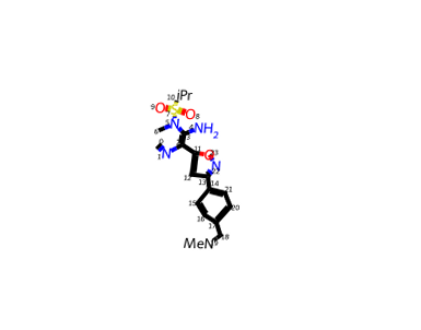 C=N/C(=C(/N)N(C)S(=O)(=O)C(C)C)c1cc(-c2ccc(CNC)cc2)no1